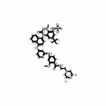 COc1cc(Nc2cc(Oc3ccc(N(C(N)=O)c4cc(C(C)(C)C)cc(NS(C)(=O)=O)c4OC)c4ccccc34)ccn2)ccc1C(=O)NCCN1C[C@@H](C)O[C@@H](C)C1